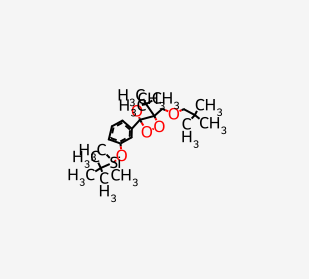 COC1(c2cccc(O[Si](C)(C)C(C)(C)C)c2)OOC1(COCC(C)(C)C)C(C)(C)C